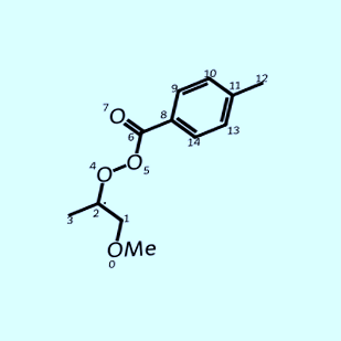 COC[C](C)OOC(=O)c1ccc(C)cc1